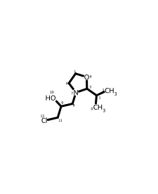 CC(C)C1OCCN1CC(O)CCl